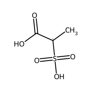 C[C](C(=O)O)S(=O)(=O)O